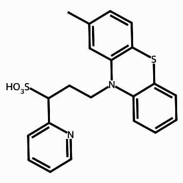 Cc1ccc2c(c1)N(CCC(c1ccccn1)S(=O)(=O)O)c1ccccc1S2